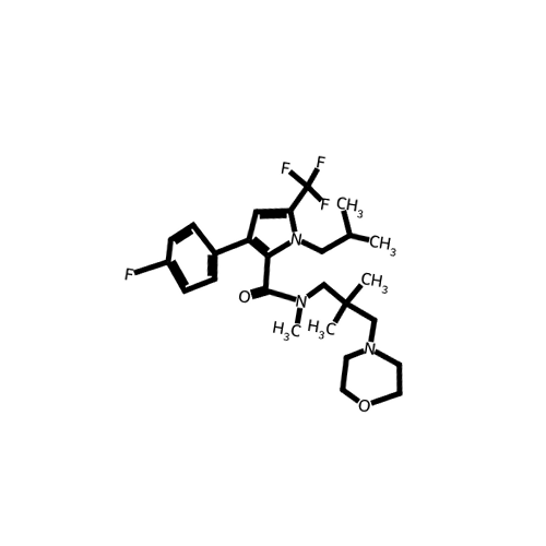 CC(C)Cn1c(C(F)(F)F)cc(-c2ccc(F)cc2)c1C(=O)N(C)CC(C)(C)CN1CCOCC1